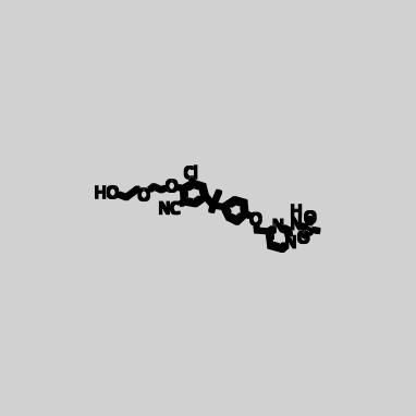 CC(C)(c1ccc(OCc2ccnc(NS(C)(=O)=O)n2)cc1)c1cc(Cl)c(OCCOCCO)c(C#N)c1